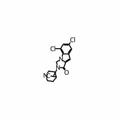 O=C1c2cc3cc(Cl)cc(Cl)c3n2CN1C1CN2CCC1CC2